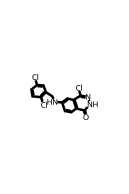 O=c1[nH]nc(Cl)c2cc(NCc3cc(Cl)ccc3Cl)ccc12